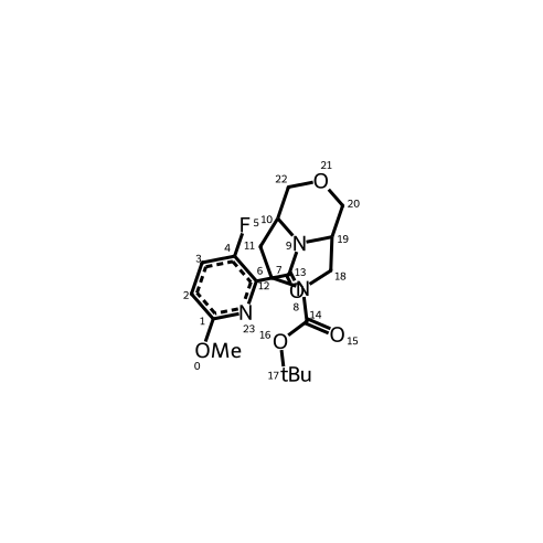 COc1ccc(F)c(C(=O)N2C3CCN(C(=O)OC(C)(C)C)CC2COC3)n1